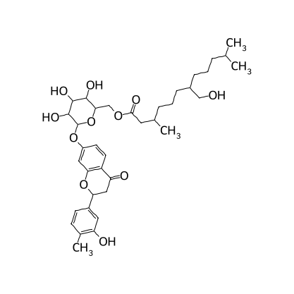 Cc1ccc(C2CC(=O)c3ccc(OC4OC(COC(=O)CC(C)CCCC(CO)CCCC(C)C)C(O)C(O)C4O)cc3O2)cc1O